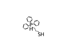 SCCCC[PH](c1ccccc1)(c1ccccc1)c1ccccc1